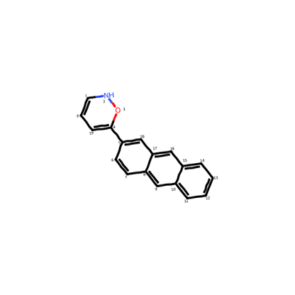 C1=CNOC(c2ccc3cc4ccccc4cc3c2)=C1